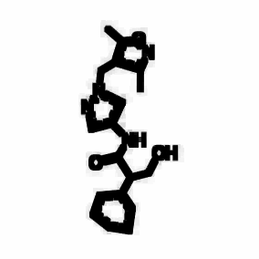 Cc1noc(C)c1Cn1cc(NC(=O)C(CO)c2ccccc2)cn1